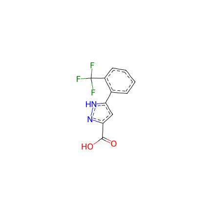 O=C(O)c1cc(-c2ccccc2C(F)(F)F)[nH]n1